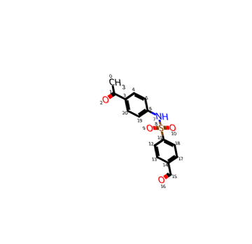 CC(=O)c1ccc(NS(=O)(=O)c2ccc(C=O)cc2)cc1